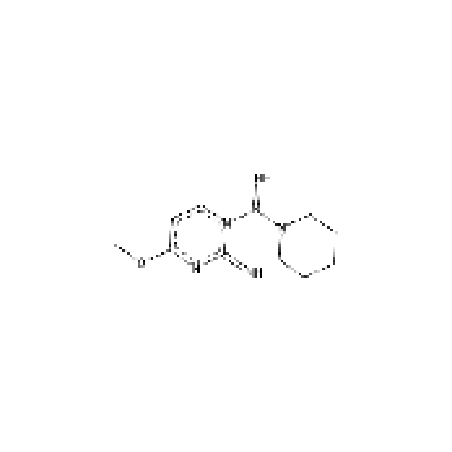 COc1ccn(C(=N)N2CCCCC2)c(=N)n1